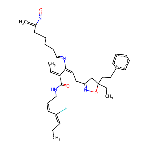 C=C(CCCC/C=N/C(=C/CC1=NOC(CC)(CCc2ccccc2)C1)C(=C\C)/C(=O)NC/C=C\C(F)=C/CC)N=O